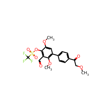 COCC(=O)c1ccc(-c2cc(OC)c(OS(=O)(=O)C(F)(F)F)c(C=O)c2OC)cc1